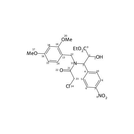 CCOC(=O)C(O)C(c1ccc([N+](=O)[O-])cc1)N(Cc1ccc(OC)cc1OC)C(=O)CCl